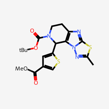 COC(=O)c1csc(C2c3c(nc4sc(C)nn34)CCN2C(=O)OC(C)(C)C)c1